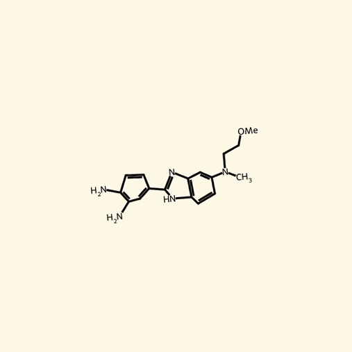 COCCN(C)c1ccc2[nH]c(-c3ccc(N)c(N)c3)nc2c1